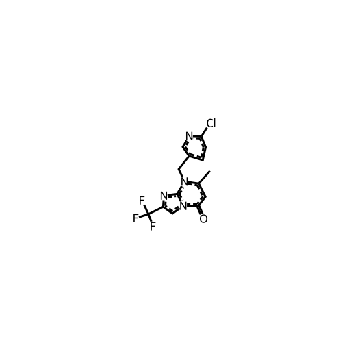 Cc1cc(=O)n2cc(C(F)(F)F)nc2n1Cc1ccc(Cl)nc1